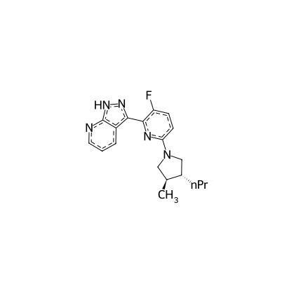 CCC[C@H]1CN(c2ccc(F)c(-c3n[nH]c4ncccc34)n2)C[C@@H]1C